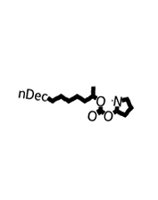 CCCCCCCCCCCCCCCC(C)OC(=O)OC1CCC[N]1